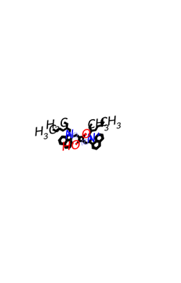 CCCCC(CC)Cn1/c(=C/C2=C(O)C(=C/C3=[N+](CC(CC)CCCC)c4cccc5cccc3c45)/C2=O)c2cccc3cccc1c32